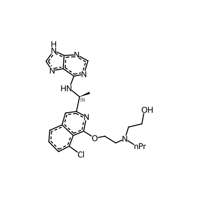 CCCN(CCO)CCOc1nc([C@H](C)Nc2ncnc3[nH]cnc23)cc2cccc(Cl)c12